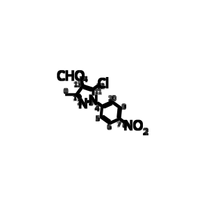 Cc1nn(-c2ccc([N+](=O)[O-])cc2)c(Cl)c1C=O